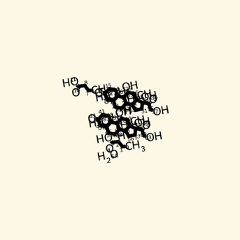 CCCC(=O)O.CCCC(=O)O.C[C@]12CCC(=O)C=C1CC[C@@H]1[C@@H]2[C@@H](O)C[C@@]2(C)[C@H]1CC[C@]2(O)C(=O)CO.C[C@]12CCC(=O)C=C1CC[C@@H]1[C@@H]2[C@@H](O)C[C@@]2(C)[C@H]1CC[C@]2(O)C(=O)CO.O